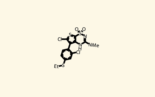 CCSc1ccc(-c2c(Cl)sc3c2NC(NC)=NS3(=O)=O)c(Cl)c1